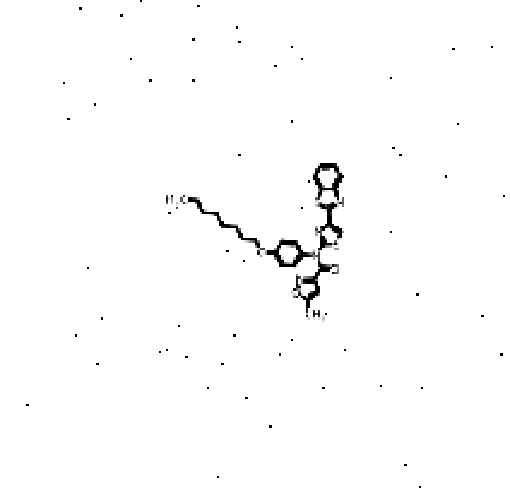 CCCCCCCCOc1ccc(N(C(=O)c2cc(C)on2)c2nc(-c3nc4ccccc4s3)cs2)cc1